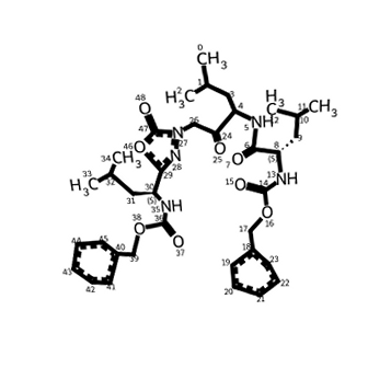 CC(C)CC(NC(=O)[C@H](CC(C)C)NC(=O)OCc1ccccc1)C(=O)Cn1nc([C@H](CC(C)C)NC(=O)OCc2ccccc2)oc1=O